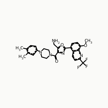 COc1ccc(-c2nc(C(=O)N3CCN(c4ccc(C)c(C)c4)CC3)c(CN)o2)c2ccc(C(F)(F)F)nc12